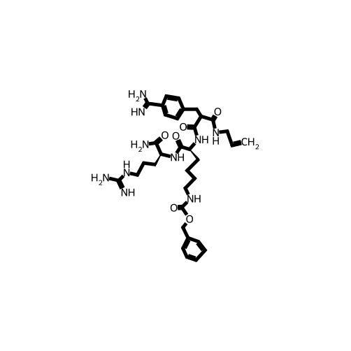 C=CCNC(=O)C(Cc1ccc(C(=N)N)cc1)C(=O)N[C@@H](CCCCNC(=O)OCc1ccccc1)C(=O)N[C@@H](CCCNC(=N)N)C(N)=O